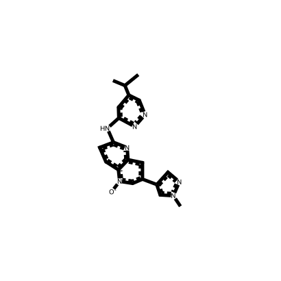 CC(C)c1cnnc(Nc2ccc3c(cc(-c4cnn(C)c4)c[n+]3[O-])n2)c1